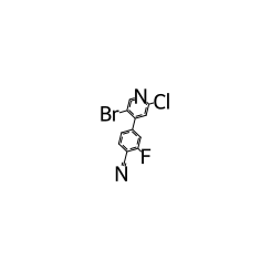 N#Cc1ccc(-c2cc(Cl)ncc2Br)cc1F